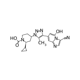 Cc1c(-c2cc(O)n3c(C#N)cnc3c2)nnn1C1CCN(C(=O)O)[C@H](C2CC2)C1